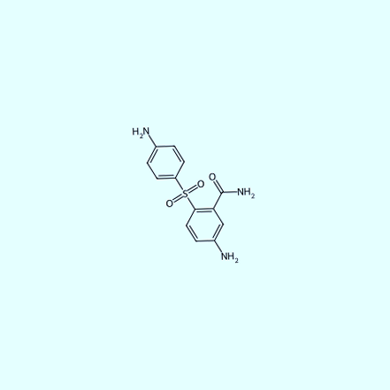 NC(=O)c1cc(N)ccc1S(=O)(=O)c1ccc(N)cc1